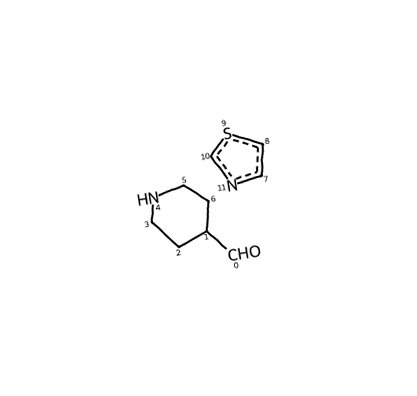 O=CC1CCNCC1.c1cscn1